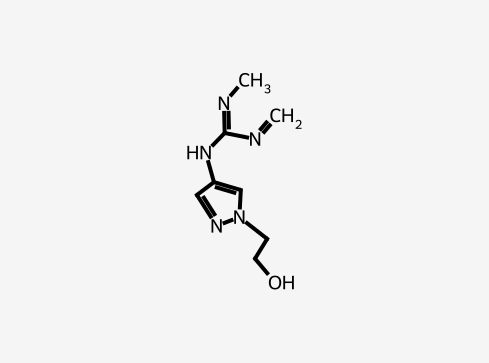 C=N/C(=N\C)Nc1cnn(CCO)c1